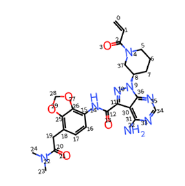 C=CC(=O)N1CCC[C@@H](n2nc(C(=O)Nc3ccc(CC(=O)N(C)C)c4c3OCO4)c3c(N)ncnc32)C1